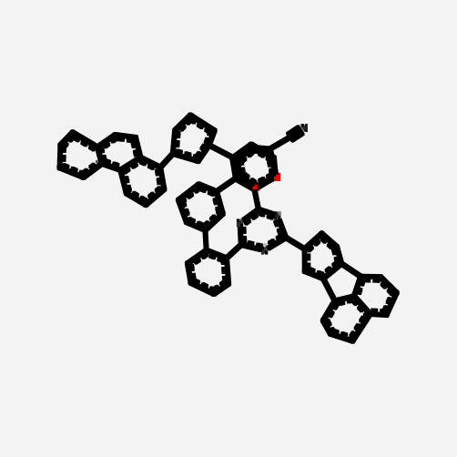 N#Cc1ccc(-c2cccc(-c3ccccc3-c3nc(-c4ccccc4)nc(-c4ccc5c(c4)-c4cccc6cccc-5c46)n3)c2)c(-c2cccc(-c3cccc4c3ccc3ccccc34)c2)c1